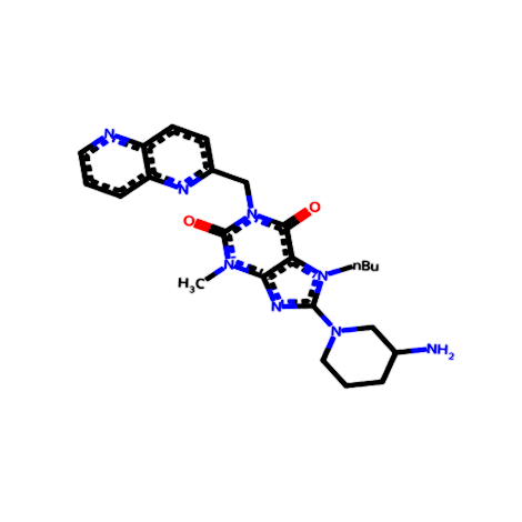 CCCCn1c(N2CCCC(N)C2)nc2c1c(=O)n(Cc1ccc3ncccc3n1)c(=O)n2C